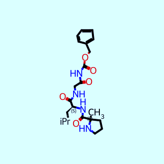 CC(C)C[C@H](NC(=O)[C@]1(C)CCCN1)C(=O)NCC(=O)NC(=O)OCc1ccccc1